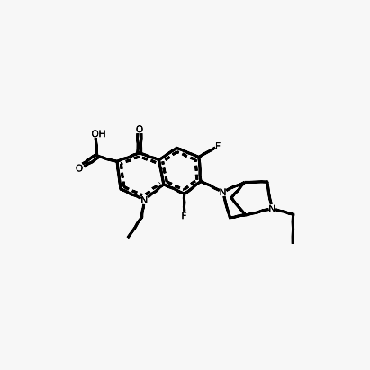 CCN1CC2CC1CN2c1c(F)cc2c(=O)c(C(=O)O)cn(CC)c2c1F